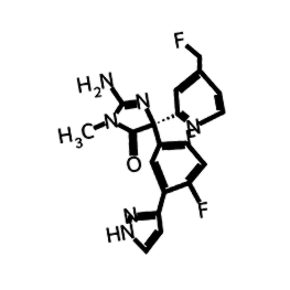 CN1C(=O)[C@](c2cc(CF)ccn2)(c2cc(-c3cc[nH]n3)c(F)cc2F)N=C1N